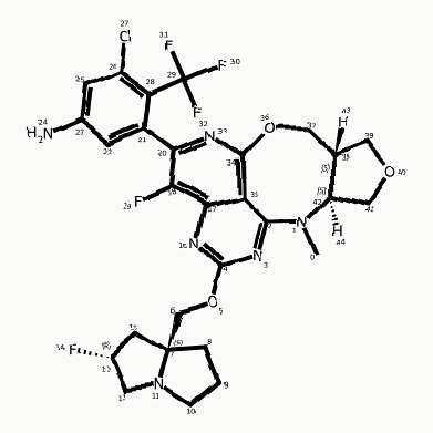 CN1c2nc(OC[C@@]34CCCN3C[C@H](F)C4)nc3c(F)c(-c4cc(N)cc(Cl)c4C(F)(F)F)nc(c23)OC[C@@H]2COC[C@H]21